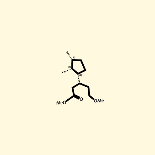 COCCC(CC(=O)OC)[C@H]1CC[C@@H](C)[C@H]1C